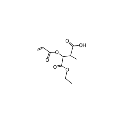 C=CC(=O)OC(C(=O)OCC)C(C)C(=O)O